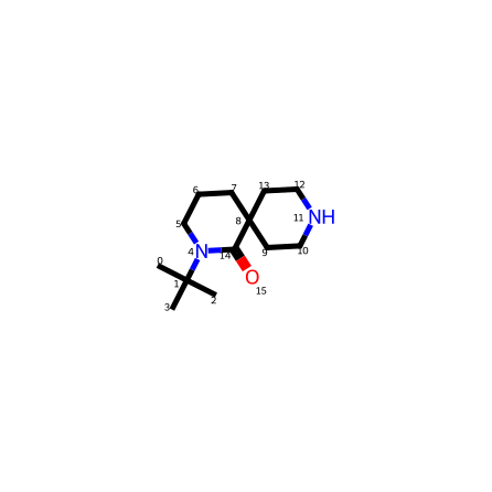 CC(C)(C)N1CCCC2(CCNCC2)C1=O